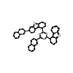 c1ccc2cc(-c3ccc4c(c3)oc3cccc(-c5nc(-c6ccc7ccccc7c6)nc(-c6cccc7oc8ccccc8c67)n5)c34)ccc2c1